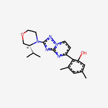 Cc1cc(C)c(-c2ccn3nc(N4CCOC[C@H]4C(C)C)nc3n2)c(O)c1